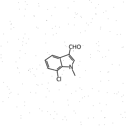 Cn1cc(C=O)c2cccc(Cl)c21